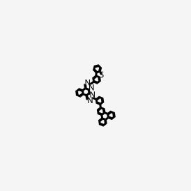 c1cc(-c2ccc3c4ccccc4c4ccccc4c3c2)cc(-c2ncc3c4ccccc4c4cnc(-c5ccc6sc7ccccc7c6c5)nc4c3n2)c1